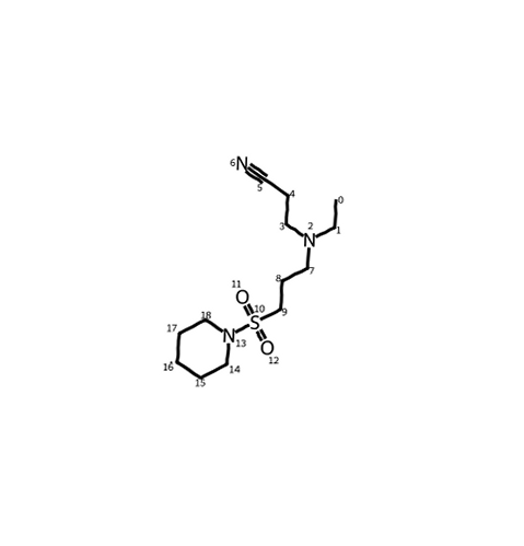 CCN(CCC#N)CCCS(=O)(=O)N1CC[CH]CC1